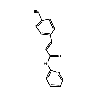 CC(C)(C)c1ccc(/C=C/C(=O)Nc2ccccn2)cc1